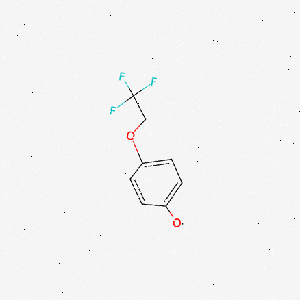 [O]c1ccc(OCC(F)(F)F)cc1